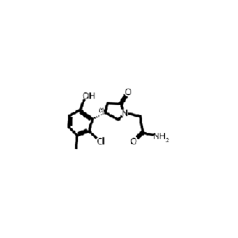 Cc1ccc(O)c([C@@H]2CC(=O)N(CC(N)=O)C2)c1Cl